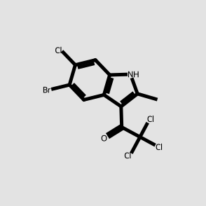 Cc1[nH]c2cc(Cl)c(Br)cc2c1C(=O)C(Cl)(Cl)Cl